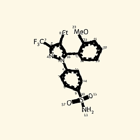 CCc1c(C(F)(F)F)nn(-c2ccc(S(N)(=O)=O)cc2)c1-c1ccccc1OC